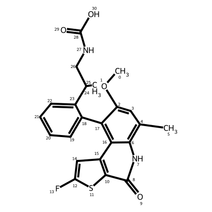 COc1cc(C)c2[nH]c(=O)c3sc(F)cc3c2c1-c1ccccc1C(C)CNC(=O)O